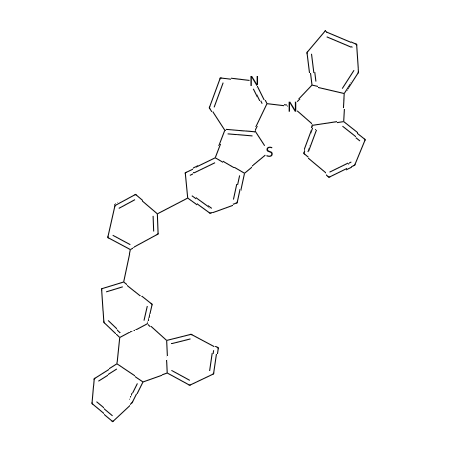 c1cc(-c2ccc3sc4c(-n5c6ccccc6c6ccccc65)nccc4c3c2)cc(-c2ccc3c4ccccc4c4ccccc4c3c2)c1